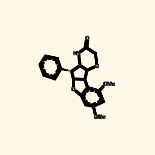 COc1cc(OC)c2c(c1)OC1C2C2OCC(=O)NC2[C@H]1c1ccccc1